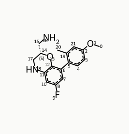 COc1ccc(-c2cc(F)cc3c2O[C@@H](CN)CN3)c(C)c1